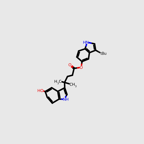 CC(C)(C)c1c[nH]c2ccc(OC(=O)CCC(C)(C)c3c[nH]c4ccc(O)cc34)cc12